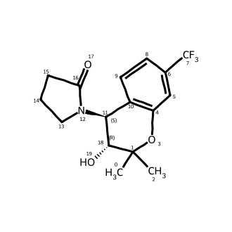 CC1(C)Oc2cc(C(F)(F)F)ccc2[C@H](N2CCCC2=O)[C@H]1O